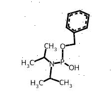 CC(C)N(C(C)C)P(O)OCc1ccccc1